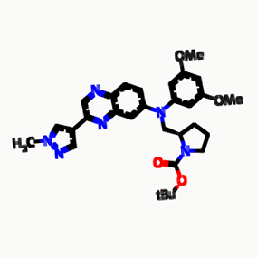 COc1cc(OC)cc(N(C[C@H]2CCCN2C(=O)OC(C)(C)C)c2ccc3ncc(-c4cnn(C)c4)nc3c2)c1